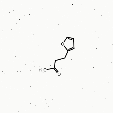 CC(=O)CCc1ccco1